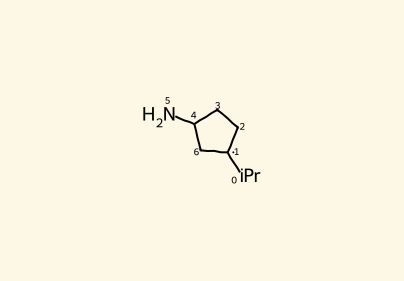 CC(C)[C]1CCC(N)C1